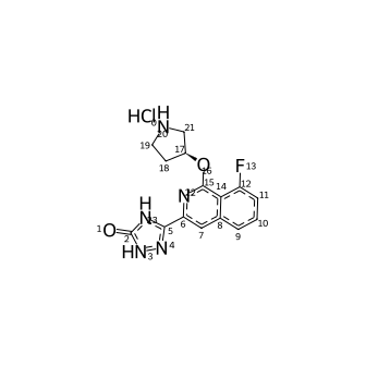 Cl.O=c1[nH]nc(-c2cc3cccc(F)c3c(O[C@H]3CCNC3)n2)[nH]1